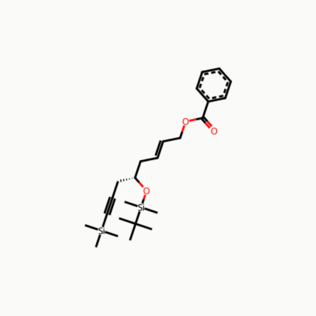 CC(C)(C)[Si](C)(C)O[C@H](CC#C[Si](C)(C)C)C/C=C/COC(=O)c1ccccc1